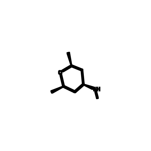 CN[C@H]1C[C@@H](C)O[C@@H](C)C1